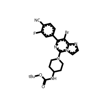 CC(C)(C)OC(=O)NC1CCN(c2nc(-c3ccc(C#N)c(F)c3)c(Br)c3nccn23)CC1